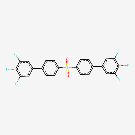 O=S(=O)(c1ccc(-c2cc(F)c(F)c(F)c2)cc1)c1ccc(-c2cc(F)c(F)c(F)c2)cc1